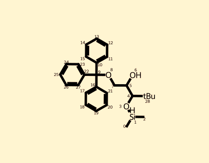 C[SiH](C)OC(C(O)COC(c1ccccc1)(c1ccccc1)c1ccccc1)C(C)(C)C